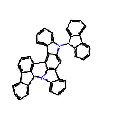 c1ccc2c(c1)B(n1c3ccccc3c3c4c5c(cc31)c1ccccc1n5B1c3ccccc3-c3cccc-4c31)c1ccccc1-2